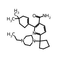 CCN1CCN(C2(c3ccc(C(N)=O)c(C4=CCC(C)(C)CC4)n3)CCCC2)CC1